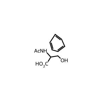 CC(=O)NC(CO)C(=O)O.c1ccccc1